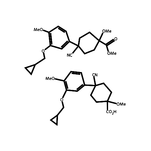 COC(=O)C1(OC)CCC(C#N)(c2ccc(OC)c(OCC3CC3)c2)CC1.COc1ccc(C2(C#N)CCC(OC)(C(=O)O)CC2)cc1OCC1CC1